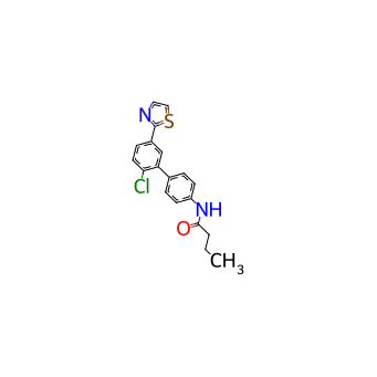 CCCC(=O)Nc1ccc(-c2cc(-c3nccs3)ccc2Cl)cc1